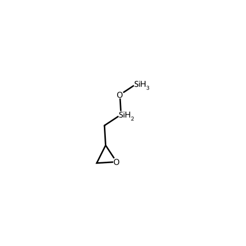 [SiH3]O[SiH2]CC1CO1